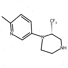 Cc1ccc(N2CCNC[C@H]2C(F)(F)F)cn1